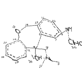 CN(C)CC1(O)c2cc(NC=O)ccc2COc2ccccc21